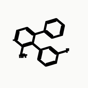 CCCc1[c]ccc(-c2ccccc2)c1-c1cccc(F)c1